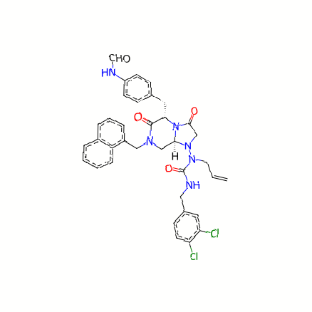 C=CCN(C(=O)NCc1ccc(Cl)c(Cl)c1)N1CC(=O)N2[C@@H](Cc3ccc(NC=O)cc3)C(=O)N(Cc3cccc4ccccc34)C[C@@H]21